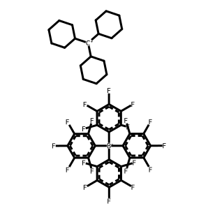 C1CCC([C+](C2CCCCC2)C2CCCCC2)CC1.Fc1c(F)c(F)c([B-](c2c(F)c(F)c(F)c(F)c2F)(c2c(F)c(F)c(F)c(F)c2F)c2c(F)c(F)c(F)c(F)c2F)c(F)c1F